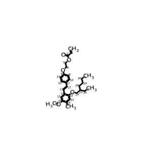 C=CC(=O)OCCOc1ccc(/C=C/c2cc(OC)c(C)cc2OCC(CC)CCCC)cc1